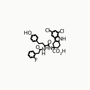 O=C(Cc1ccccc1F)NC(CCc1ccc(O)cc1)C(=O)NC1(C(=O)O)CCc2[nH]c3c(Cl)cc(Cl)cc3c2C1